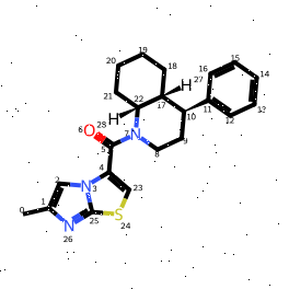 Cc1cn2c(C(=O)N3CC[C@H](c4ccccc4)[C@H]4CCCC[C@H]43)csc2n1